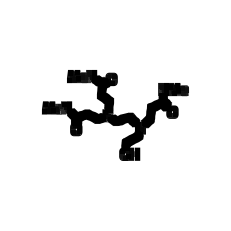 CNC(=O)CCN(CCO)CCN(CCC(=O)NC)CCC(=O)NC